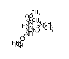 CCOC(=O)c1sc(Nc2nc(NCc3ccc(-c4nnn[nH]4)cc3)cc(N3CCCC(C(=O)N(CC)CC)C3)n2)nc1C